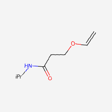 C=COCCC(=O)NC(C)C